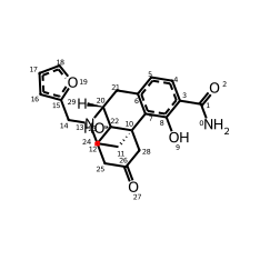 NC(=O)c1ccc2c(c1O)[C@]13CCN(Cc4ccco4)[C@H](C2)[C@]1(O)CCC(=O)C3